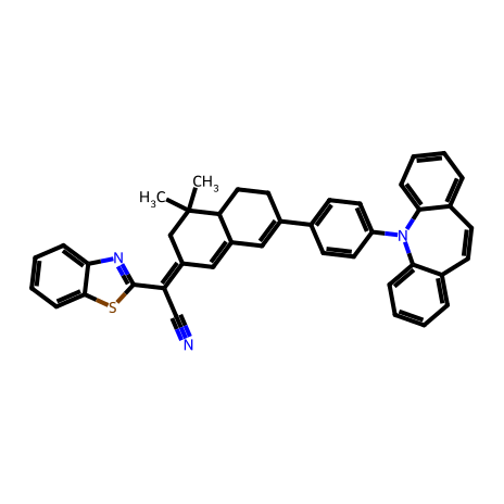 CC1(C)C/C(=C(/C#N)c2nc3ccccc3s2)C=C2C=C(c3ccc(N4c5ccccc5C=Cc5ccccc54)cc3)CCC21